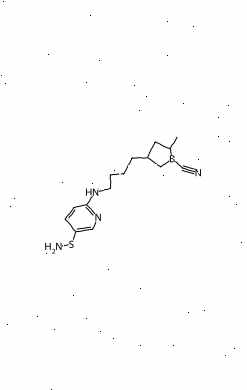 CC1CC(CCCCNc2ccc(SN)cn2)CB1C#N